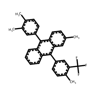 Cc1ccc2c(-c3ccc(C)c(C)c3)c3ccccc3c(-c3ccc(C)c(C(F)(F)F)c3)c2c1